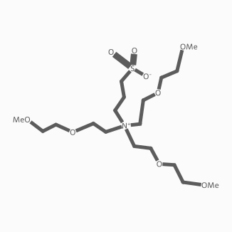 COCCOCC[N+](CCCS(=O)(=O)[O-])(CCOCCOC)CCOCCOC